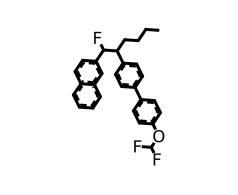 CCCCC(c1ccc(-c2ccc(OC(F)F)cc2)cc1)C(F)c1ccc2ccccc2c1